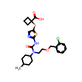 CC1CCC(N(CCOCc2ccccc2Cl)C(=O)Nc2ncc(SC3(C(=O)O)CCC3)s2)CC1